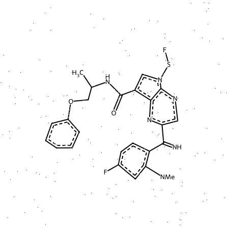 CNc1cc(F)ccc1C(=N)c1cnc2c(n1)c(C(=O)NC(C)COc1ccccc1)cn2SF